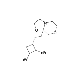 CCCC1C[C@H](CCC23COCCN2CCO3)C1CCC